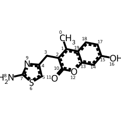 Cc1c(Cc2csc(N)n2)c(=O)oc2cc(O)ccc12